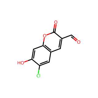 O=Cc1cc2cc(Cl)c(O)cc2oc1=O